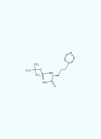 CC(C)(C)OC(=O)N[C@@H](CCCc1ccncc1)C(=O)O